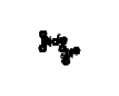 c1ccc(-c2nc(-c3ccccc3)nc(-c3ccc4c(c3)sc3cccc(-c5cccc(-c6nc(-c7ccccc7)nc7c6oc6ccccc67)c5)c34)n2)cc1